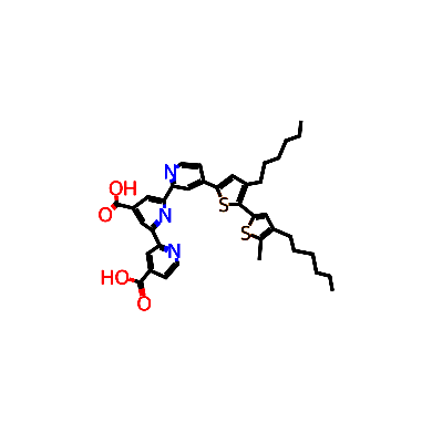 CCCCCCc1cc(-c2sc(-c3ccnc(-c4cc(C(=O)O)cc(-c5cc(C(=O)O)ccn5)n4)c3)cc2CCCCCC)sc1C